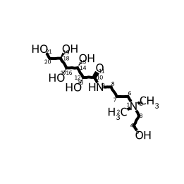 C[N+](C)(CCO)CCCNC(=O)[C@H](O)[C@@H](O)[C@H](O)[C@H](O)CO